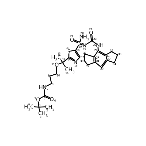 CC(C)(C)OC(=O)NCCCOC(C)(C)c1ncc(S(N)(=O)=NC(=O)Nc2c3c(cc4c2CCC4)CCC3)s1